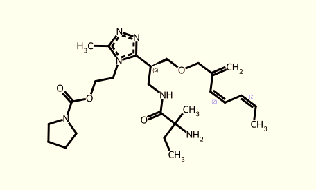 C=C(/C=C\C=C/C)COC[C@@H](CNC(=O)C(C)(N)CC)c1nnc(C)n1CCOC(=O)N1CCCC1